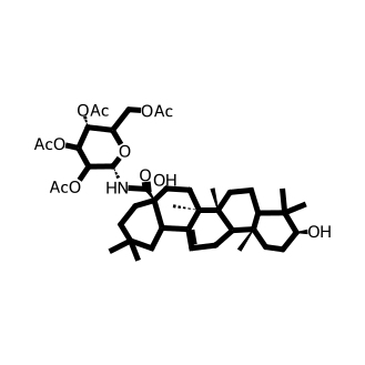 CC(=O)OCC1O[C@H](NC(=O)[C@]23CCC(C)(C)CC2C2=CCC4[C@@]5(C)CC[C@H](O)C(C)(C)C5CC[C@@]4(C)[C@]2(C)C[C@H]3O)C(OC(C)=O)C(OC(C)=O)[C@@H]1OC(C)=O